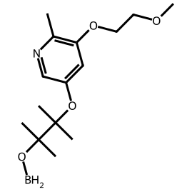 BOC(C)(C)C(C)(C)Oc1cnc(C)c(OCCOC)c1